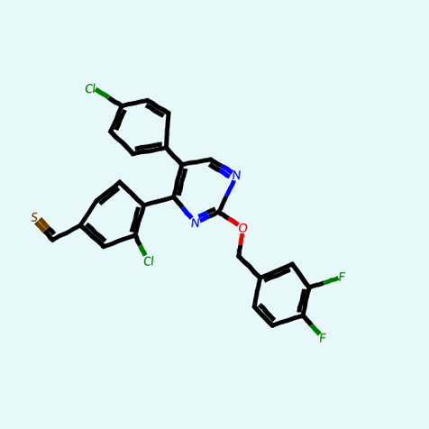 Fc1ccc(COc2ncc(-c3ccc(Cl)cc3)c(-c3ccc(C=S)cc3Cl)n2)cc1F